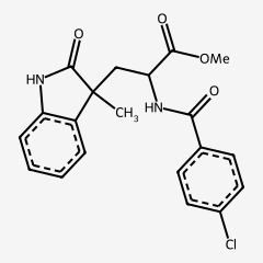 COC(=O)C(CC1(C)C(=O)Nc2ccccc21)NC(=O)c1ccc(Cl)cc1